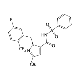 CC(C)(C)c1cc(C(=O)NS(=O)(=O)c2ccccc2)n(Cc2cc(F)ccc2C(F)(F)F)n1